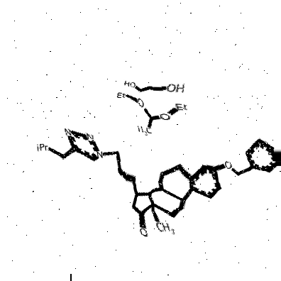 CC(C)Cc1cn(CCCC2CC(=O)C3(C)CCC4c5ccc(OCc6ccccc6)cc5CCC4C23)nn1.CCOC(C)OCC.OCCO